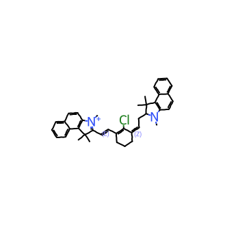 CN1c2ccc3ccccc3c2C(C)(C)C1C/C=C1/CCCC(/C=C/C2=[N+](C)c3ccc4ccccc4c3C2(C)C)=C1Cl